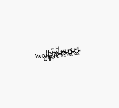 COC(=O)N[C@H](C(=O)N(C)[C@@H](C)c1ncc(C23CCC(c4ccc(-c5ccccc5)cc4)(CC2)CC3)[nH]1)C(C)C